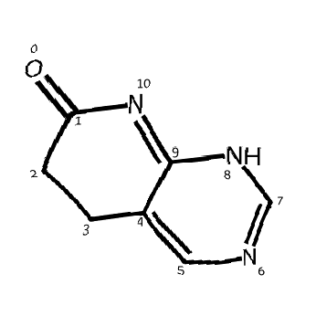 O=C1CCC2=CN=[C]NC2=N1